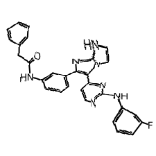 O=C(Cc1ccccc1)Nc1cccc(-c2nc3[nH]ccn3c2-c2ccnc(Nc3cccc(F)c3)n2)c1